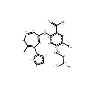 CC1=C(n2nccn2)C=C(Nc2nc(NC[C@H](C)N)c(F)cc2C(=N)N)C=NC1